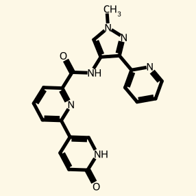 Cn1cc(NC(=O)c2cccc(-c3ccc(=O)[nH]c3)n2)c(-c2ccccn2)n1